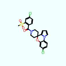 CS(=O)(=O)c1cc(Cl)ccc1C(=O)N1CCC2(CC1)Oc1cc(Cl)ccc1-n1cccc12